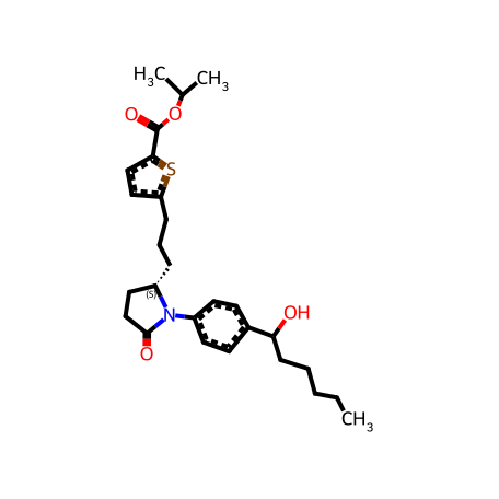 CCCCCC(O)c1ccc(N2C(=O)CC[C@@H]2CCCc2ccc(C(=O)OC(C)C)s2)cc1